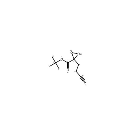 CC(C)(C)OC(=O)C1(CCC#N)OO1